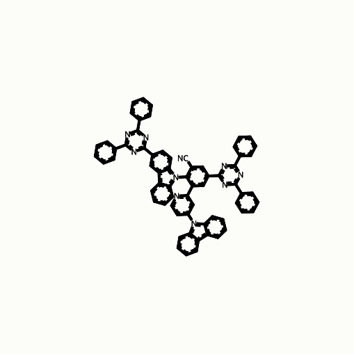 N#Cc1cc(-c2nc(-c3ccccc3)nc(-c3ccccc3)n2)cc(-c2cc(-n3c4ccccc4c4ccccc43)ccn2)c1-n1c2ccccc2c2cc(-c3nc(-c4ccccc4)nc(-c4ccccc4)n3)ccc21